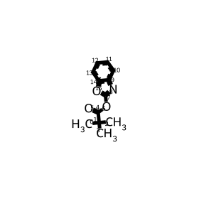 CC(C)(C)C(=O)Oc1nc2ccccc2o1